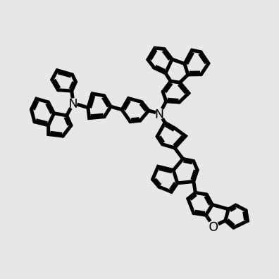 c1ccc(N(c2ccc(-c3ccc(N(c4ccc(-c5ccc(-c6ccc7oc8ccccc8c7c6)c6ccccc56)cc4)c4ccc5c6ccccc6c6ccccc6c5c4)cc3)cc2)c2cccc3ccccc23)cc1